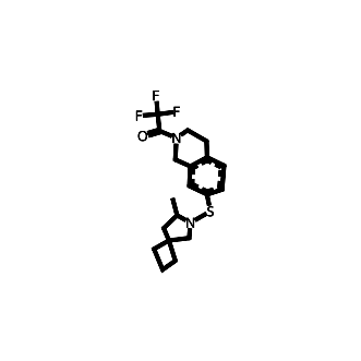 CC1CC2(CCC2)CN1Sc1ccc2c(c1)CN(C(=O)C(F)(F)F)CC2